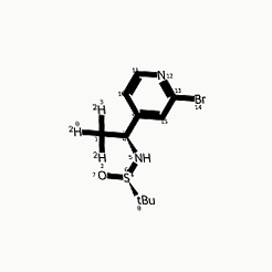 [2H]C([2H])([2H])[C@H](N[S@+]([O-])C(C)(C)C)c1ccnc(Br)c1